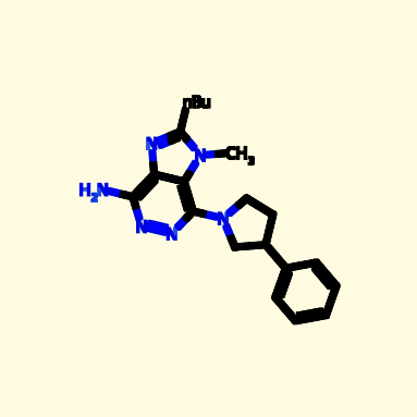 CCCCc1nc2c(N)nnc(N3CCC(c4ccccc4)C3)c2n1C